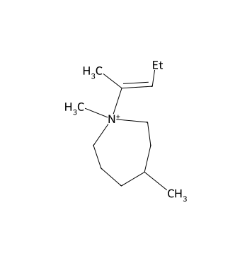 CCC=C(C)[N+]1(C)CCCC(C)CC1